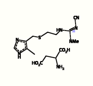 CN/C(=N/C#N)NCCSCc1nc[nH]c1C.NC(CC(=O)O)C(=O)O